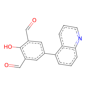 O=Cc1cc(-c2cccc3ncccc23)cc(C=O)c1O